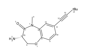 CN1C(=O)[C@@H](N)COc2ccc(C#CC(C)(C)C)cc21